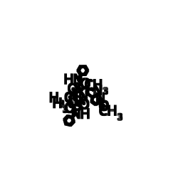 COc1ccc(C2N3C(=O)[S@](C)(SC(=O)Nc4ccccc4)N(C)C(=O)C3(SC(=O)Nc3ccccc3)C[C@]2(C)C#N)cn1